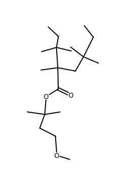 CCC(C)(C)CC(C)(C(=O)OC(C)(C)CCOC)C(C)(C)CC